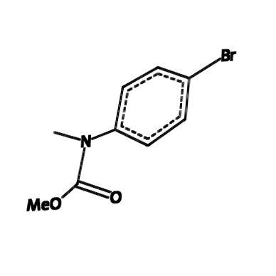 [CH2]OC(=O)N(C)c1ccc(Br)cc1